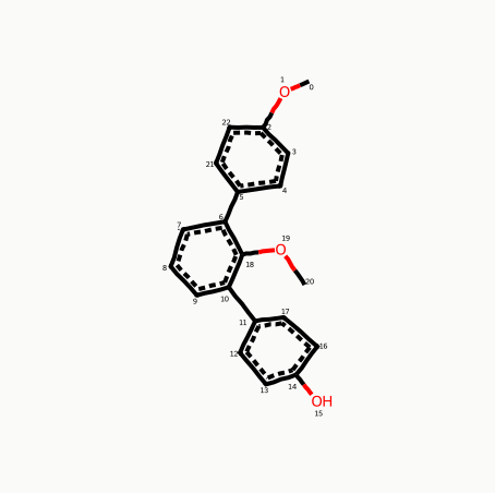 COc1ccc(-c2[c]ccc(-c3ccc(O)cc3)c2OC)cc1